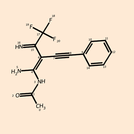 CC(=O)N/C(N)=C(\C#Cc1ccccc1)C(=N)C(F)(F)F